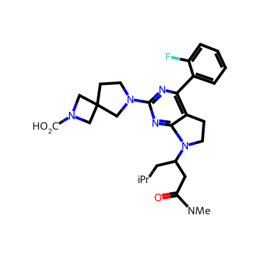 CNC(=O)CC(CC(C)C)N1CCc2c(-c3ccccc3F)nc(N3CCC4(CN(C(=O)O)C4)C3)nc21